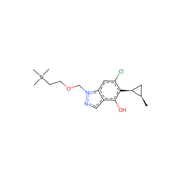 C[C@@H]1C[C@@H]1c1c(Cl)cc2c(cnn2COCC[Si](C)(C)C)c1O